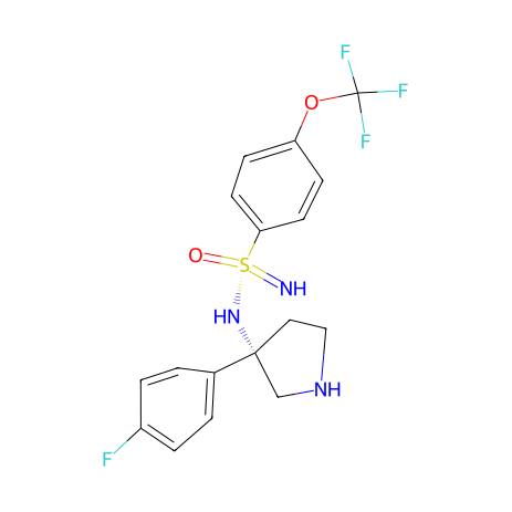 N=[S@](=O)(N[C@]1(c2ccc(F)cc2)CCNC1)c1ccc(OC(F)(F)F)cc1